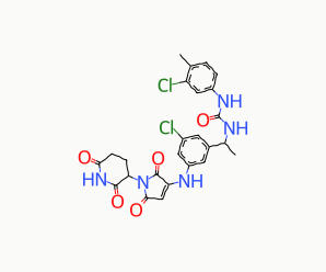 Cc1ccc(NC(=O)NC(C)c2cc(Cl)cc(NC3=CC(=O)N(C4CCC(=O)NC4=O)C3=O)c2)cc1Cl